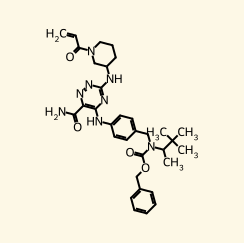 C=CC(=O)N1CCCC(Nc2nnc(C(N)=O)c(Nc3ccc(CN(C(=O)OCc4ccccc4)C(C)C(C)(C)C)cc3)n2)C1